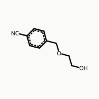 N#Cc1ccc(COCCO)cc1